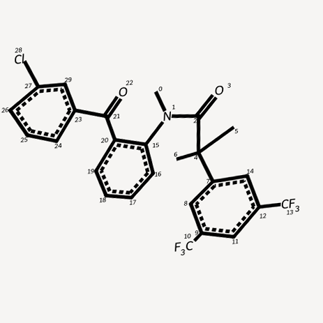 CN(C(=O)C(C)(C)c1cc(C(F)(F)F)cc(C(F)(F)F)c1)c1ccccc1C(=O)c1cccc(Cl)c1